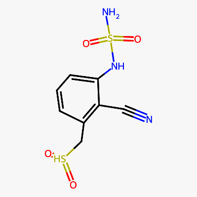 N#Cc1c(C[SH](=O)=O)cccc1NS(N)(=O)=O